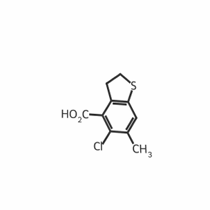 Cc1cc2c(c(C(=O)O)c1Cl)CCS2